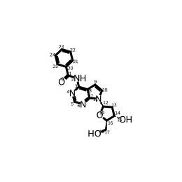 O=C(Nc1ncnc2c1ccn2[C@H]1C[C@H](O)[C@@H](CO)O1)c1ccccc1